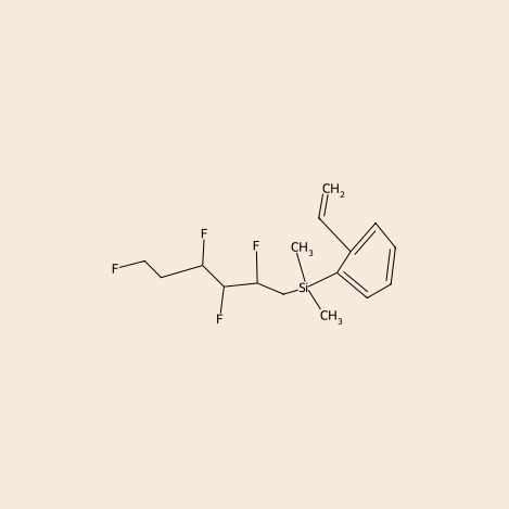 C=Cc1ccccc1[Si](C)(C)CC(F)C(F)C(F)CCF